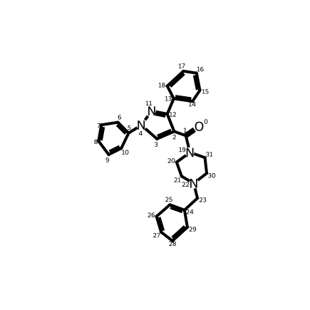 O=C(c1cn(-c2ccccc2)nc1-c1ccccc1)N1CCN(Cc2ccccc2)CC1